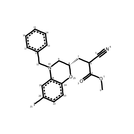 COC(=O)C(C#N)C[C@H]1CN(Cc2ccccc2)c2cc(I)ccc2O1